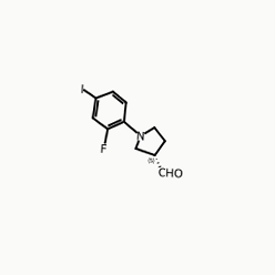 O=C[C@H]1CCN(c2ccc(I)cc2F)C1